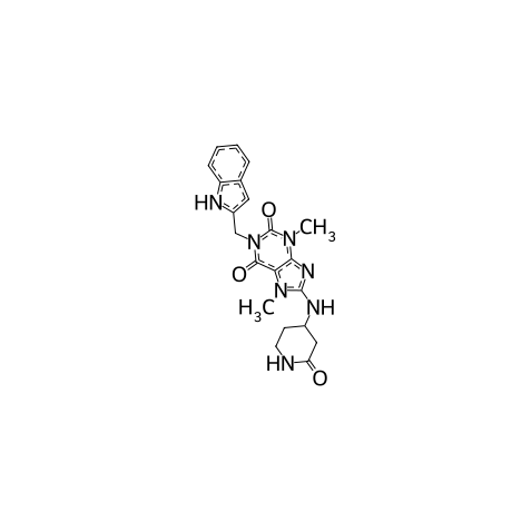 Cn1c(NC2CCNC(=O)C2)nc2c1c(=O)n(Cc1cc3ccccc3[nH]1)c(=O)n2C